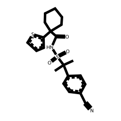 CC(C)(c1ccc(C#N)cc1)S(=O)(=O)NC(=O)C1(c2cccs2)CCCCC1